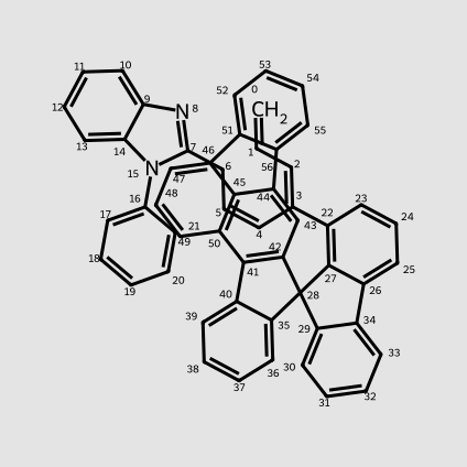 C=C/C=C(\C=C/Cc1nc2ccccc2n1-c1ccccc1)c1cccc2c1C1(c3ccccc3-2)c2ccccc2-c2c1cc1c3c(cccc23)-c2ccccc2-1